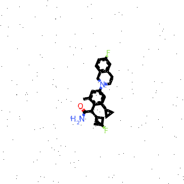 Cc1cc(N2CCc3cc(F)ccc3C2)cc(C2CC2)c1C(C(N)=O)C12CC(F)(C1)C2